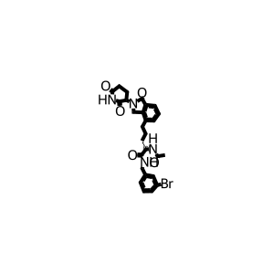 CC(=O)N[C@@H](CCCc1cccc2c1CN(C1CCC(=O)NC1=O)C2=O)C(=O)NCc1cccc(Br)c1